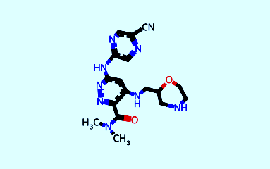 CN(C)C(=O)c1nnc(Nc2cnc(C#N)cn2)cc1NCC1CNCCO1